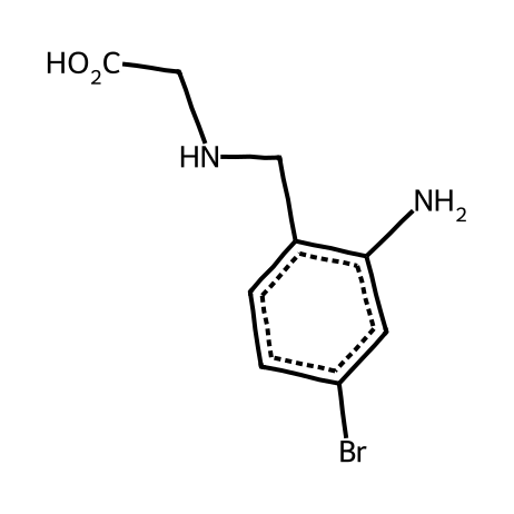 Nc1cc(Br)ccc1CNCC(=O)O